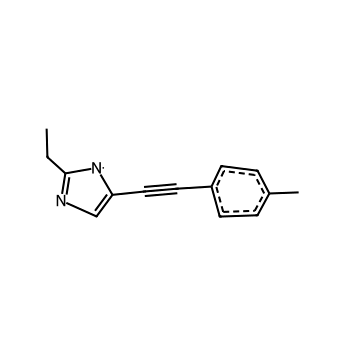 CCC1=NC=C(C#Cc2ccc(C)cc2)[N]1